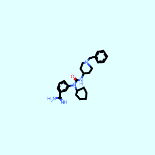 N=C(N)c1cccc(N(C(=O)NC2CCN(Cc3ccccc3)CC2)C2CCCCC2)c1